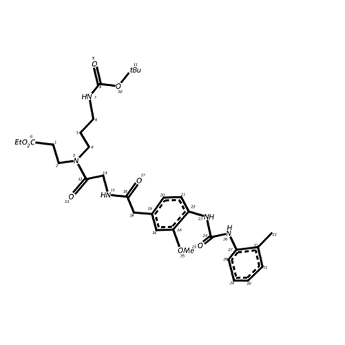 CCOC(=O)CCN(CCCNC(=O)OC(C)(C)C)C(=O)CNC(=O)Cc1ccc(NC(=O)Nc2ccccc2C)c(OC)c1